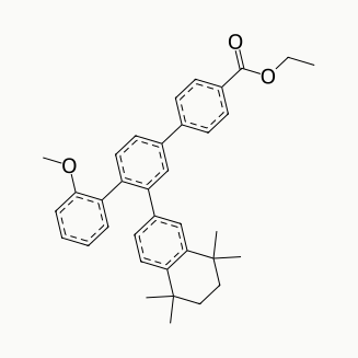 CCOC(=O)c1ccc(-c2ccc(-c3ccccc3OC)c(-c3ccc4c(c3)C(C)(C)CCC4(C)C)c2)cc1